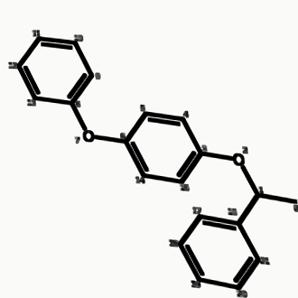 CC(Oc1ccc(Oc2ccccc2)cc1)c1ccccc1